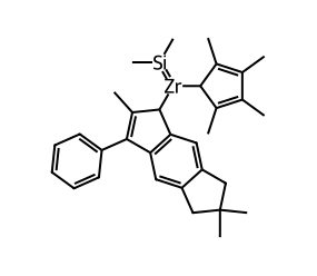 CC1=C(C)[CH]([Zr]([CH]2C(C)=C(c3ccccc3)c3cc4c(cc32)CC(C)(C)C4)=[Si](C)C)C(C)=C1C